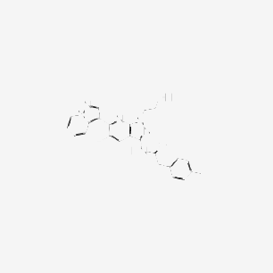 O=C(Cc1ccc(F)cc1)Nc1nn(CCO)c2nc(-c3cnn4ccccc34)c(F)cc12